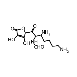 NCCCCC(N)C(NC=O)C(=O)C1OC(=O)C(O)=C1O